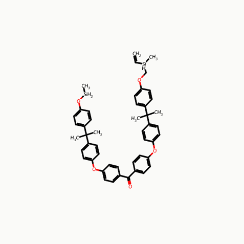 C=C[SiH](C)COc1ccc(C(C)(C)c2ccc(Oc3ccc(C(=O)c4ccc(Oc5ccc(C(C)(C)c6ccc(O[SiH2]C)cc6)cc5)cc4)cc3)cc2)cc1